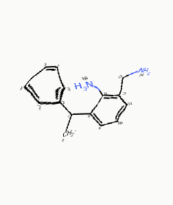 [CH2]C(c1ccccc1)c1cccc(CN)c1N